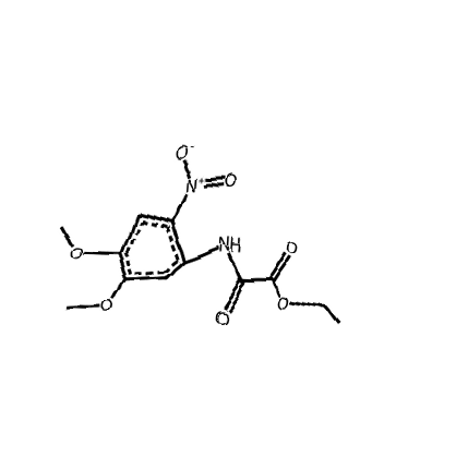 CCOC(=O)C(=O)Nc1cc(OC)c(OC)cc1[N+](=O)[O-]